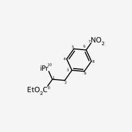 CCOC(=O)C(Cc1ccc([N+](=O)[O-])cc1)C(C)C